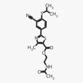 CC(=O)NCCOC(=O)c1sc(-c2ccc(SC(C)C)c(C#N)c2)nc1C